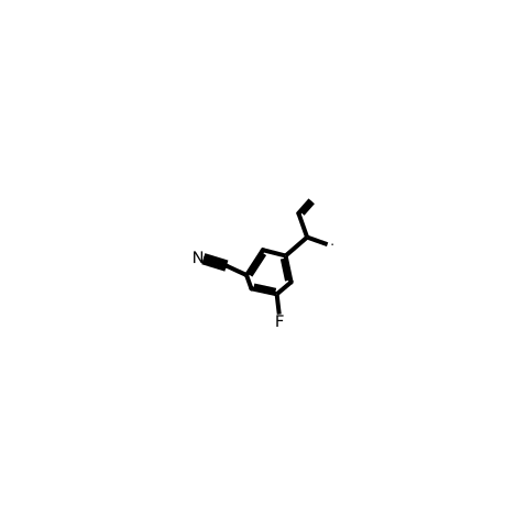 [CH2]C(C=C)c1cc(F)cc(C#N)c1